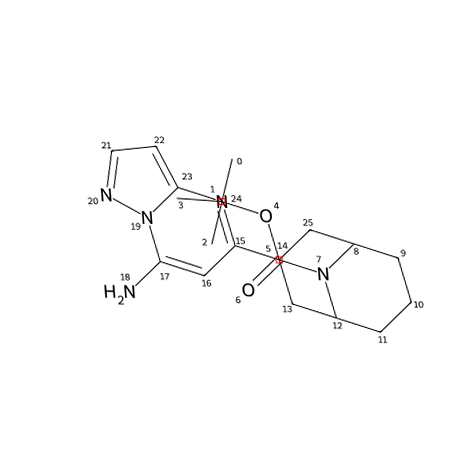 CC(C)(C)OC(=O)N1C2CCCC1CC(c1cc(N)n3nccc3n1)C2